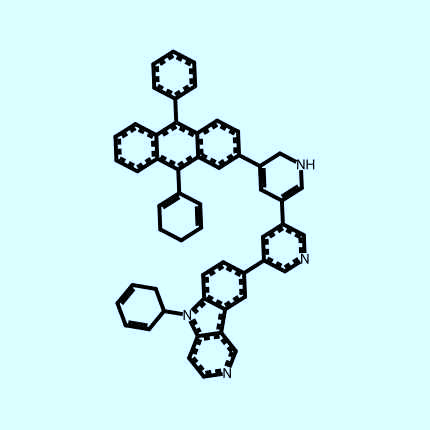 C1=CCC(n2c3ccncc3c3cc(-c4cncc(C5=CNCC(c6ccc7c(-c8ccccc8)c8ccccc8c(C8=CCCC=C8)c7c6)=C5)c4)ccc32)C=C1